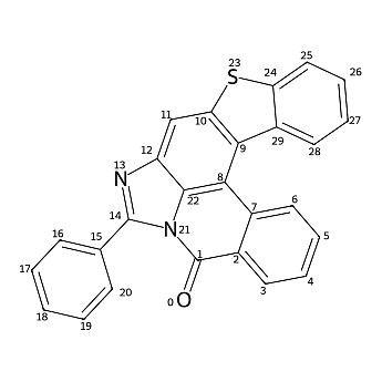 O=c1c2ccccc2c2c3c(cc4nc(-c5ccccc5)n1c42)sc1ccccc13